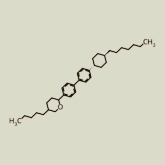 CCCCCCC[C@H]1CC[C@H](c2ccc(-c3ccc(C4CCC(CCCCC)CO4)cc3)cc2)CC1